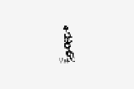 CNC(=O)c1ccc(-c2ccc3c(c2)COC2(CCN(C4CCC4)CC2)O3)cn1